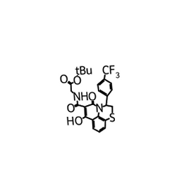 CC(C)(C)OC(=O)CNC(=O)c1c(O)c2cccc3c2n(c1=O)C(c1ccc(C(F)(F)F)cc1)CS3